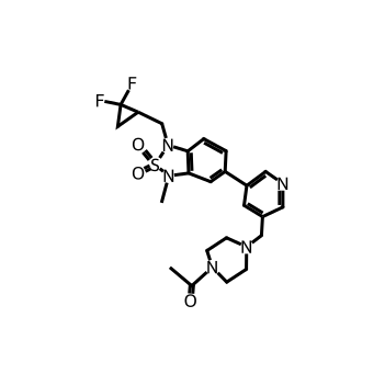 CC(=O)N1CCN(Cc2cncc(-c3ccc4c(c3)N(C)S(=O)(=O)N4CC3CC3(F)F)c2)CC1